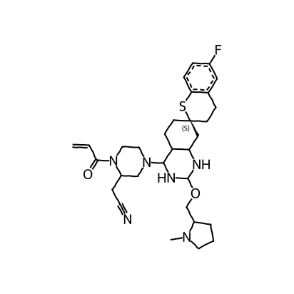 C=CC(=O)N1CCN(C2NC(OCC3CCCN3C)NC3C[C@@]4(CCc5cc(F)ccc5S4)CCC32)CC1CC#N